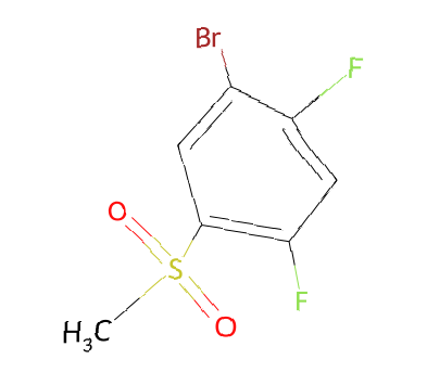 CS(=O)(=O)c1cc(Br)c(F)cc1F